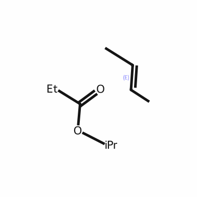 C/C=C/C.CCC(=O)OC(C)C